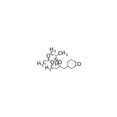 CCC(CC1CCC2OC2C1)O[SiH](OC(C)=O)C(C)C